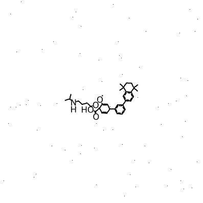 COC1=CC(c2cccc(-c3ccc4c(c3)C(C)(C)CCC4(C)C)c2)C=CC1(OCCCCNC(C)C)C(=O)O